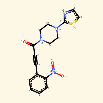 O=C(C#Cc1ccccc1[N+](=O)[O-])N1CCN(c2nccs2)CC1